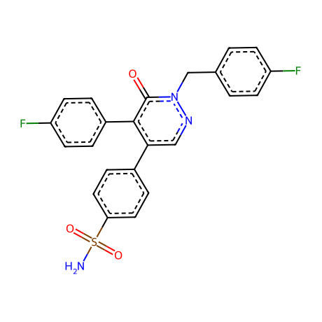 NS(=O)(=O)c1ccc(-c2cnn(Cc3ccc(F)cc3)c(=O)c2-c2ccc(F)cc2)cc1